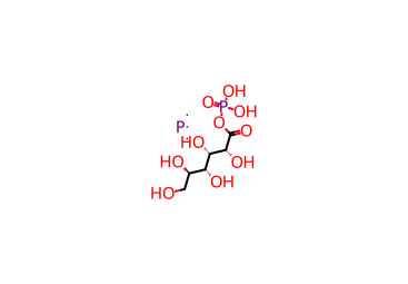 O=C(OP(=O)(O)O)[C@H](O)[C@@H](O)[C@H](O)[C@H](O)CO.[P]